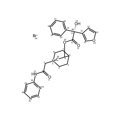 O=C(C[N+]12CCC(CC1)C(OC(=O)[C@@](O)(c1ccccc1)c1ccoc1)C2)Nc1ccncn1.[Br-]